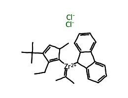 CCC1=[C]([Zr+2](=[C](C)C)[CH]2c3ccccc3-c3ccccc32)C(C)C=C1C(C)(C)C.[Cl-].[Cl-]